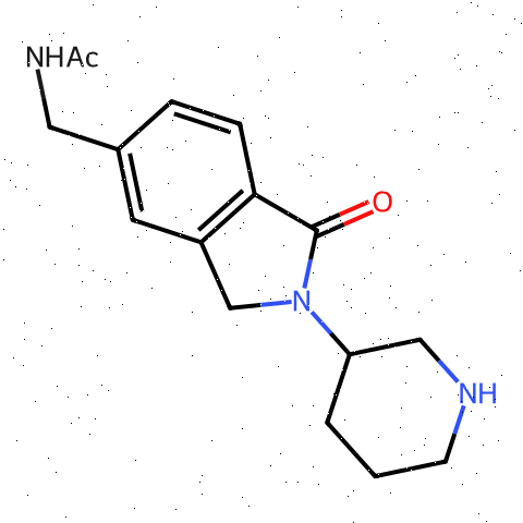 CC(=O)NCc1ccc2c(c1)CN(C1CCCNC1)C2=O